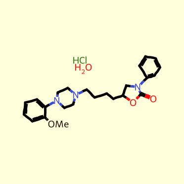 COc1ccccc1N1CCN(CCCCC2CN(c3ccccc3)C(=O)O2)CC1.Cl.O